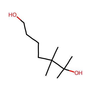 CC(C)(O)C(C)(C)CCCCO